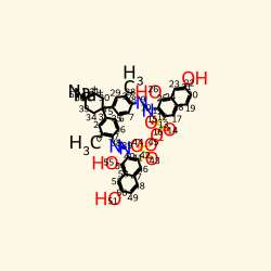 Cc1cc(C2(c3ccc(N=Nc4c(S(=O)(=O)[O-])cc5ccc(O)cc5c4O)c(C)c3)CCCCC2)ccc1N=Nc1c(S(=O)(=O)[O-])cc2ccc(O)cc2c1O.[Na+].[Na+]